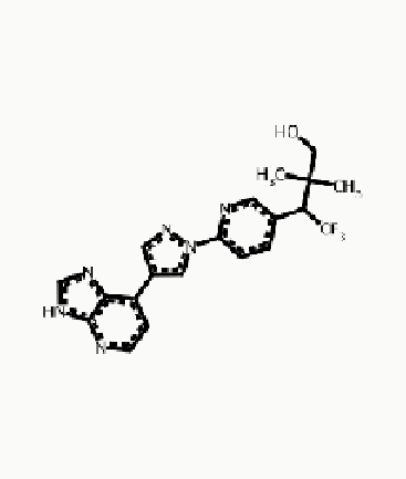 CC(C)(CO)C(c1ccc(-n2cc(-c3ccnc4[nH]cnc34)cn2)nc1)C(F)(F)F